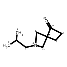 CC(C)CN1CC2(CCC2=O)C1